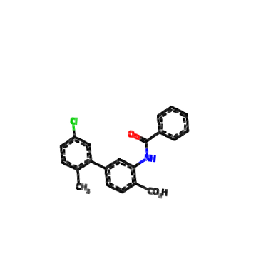 Cc1ccc(Cl)cc1-c1ccc(C(=O)O)c(NC(=O)c2ccccc2)c1